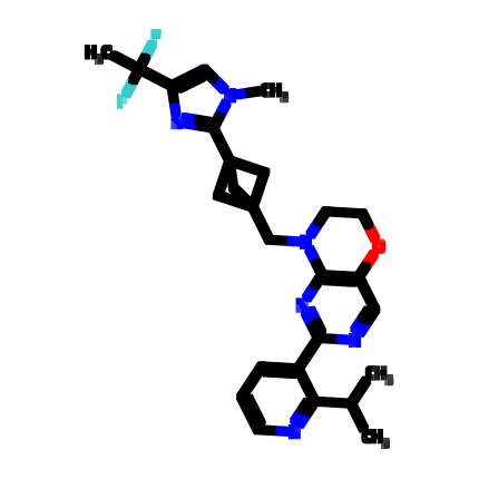 CC(C)c1ncccc1-c1ncc2c(n1)N(CC13CC(c4nc(C(C)(F)F)cn4C)(C1)C3)CCO2